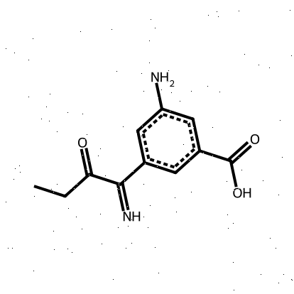 CCC(=O)C(=N)c1cc(N)cc(C(=O)O)c1